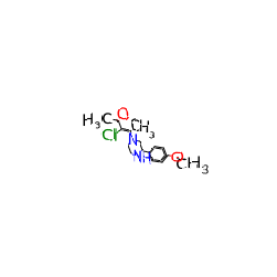 COc1ccc(C2CN(/C(C)=C(\Cl)C(C)=O)CCN2)cc1